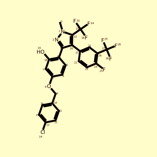 Cn1nc(-c2ccc(OCc3ccc(Cl)cc3)cc2O)c(-c2ccc(F)c(C(F)(F)F)c2)c1C(F)(F)F